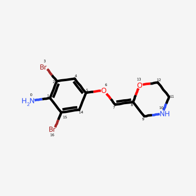 Nc1c(Br)cc(O/C=C2/CNCCO2)cc1Br